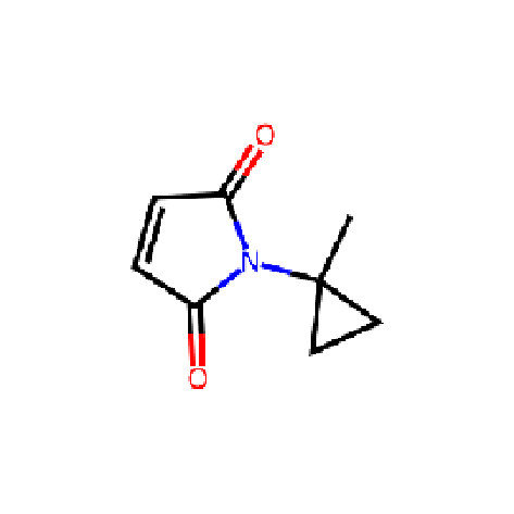 CC1(N2C(=O)C=CC2=O)CC1